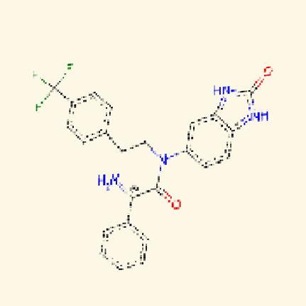 N[C@H](C(=O)N(CCc1ccc(C(F)(F)F)cc1)c1ccc2[nH]c(=O)[nH]c2c1)c1ccccc1